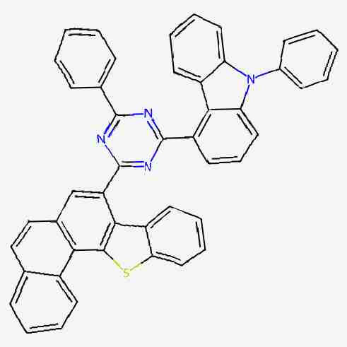 c1ccc(-c2nc(-c3cc4ccc5ccccc5c4c4sc5ccccc5c34)nc(-c3cccc4c3c3ccccc3n4-c3ccccc3)n2)cc1